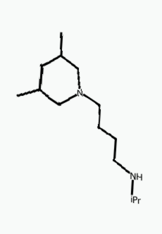 CC1CC(C)CN(CCCCNC(C)C)C1